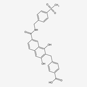 CS(=O)(=O)c1ccc(CNC(=O)c2ccc3cc(O)c(Cc4ccc(C(=O)O)cc4)c(O)c3c2)cc1